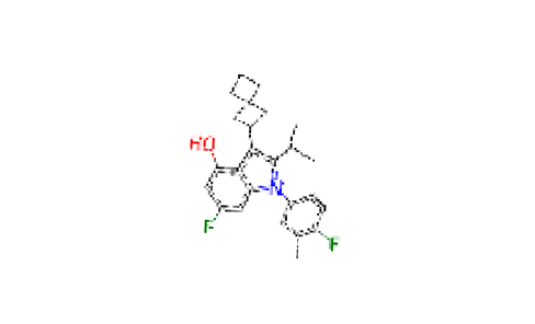 Cc1cc(-n2c(C(C)C)c(C3CC4(CCC4)C3)c3c(O)cc(F)cc32)ccc1F